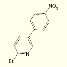 [CH2]Cc1ccc(-c2ccc([N+](=O)[O-])cc2)cn1